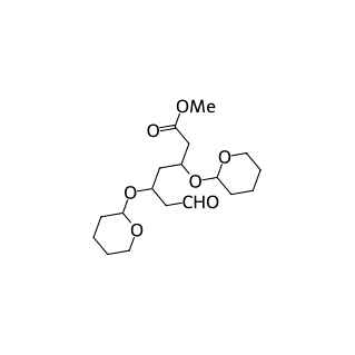 COC(=O)CC(CC(CC=O)OC1CCCCO1)OC1CCCCO1